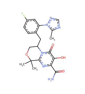 Cc1ncnn1-c1cc(F)ccc1CC1COC(C)(C)c2nc(C(N)=O)c(O)c(=O)n21